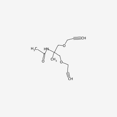 C#CCOCC(C)(COCC#C)NC(C)=O